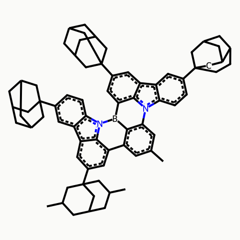 Cc1cc2c3c(c1)-n1c4ccc(C56CCC7CC(CC7C5)C6)cc4c4cc(C56CC7CC(CC(C7)C5)C6)cc(c41)B3n1c3ccc(C45CC6CC(CC(C6)C4)C5)cc3c3cc(C45CC(C)CC(CC(C)C4)C5)cc-2c31